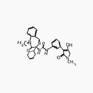 CN1CC(O)=C(c2cccc(NC(=O)N[C@]3(C4CCCCC4)N=Cc4ccccc4N(C)C3=O)c2)C1=O